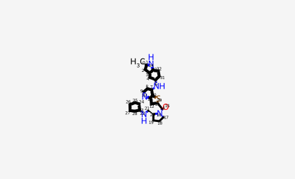 Cc1cc2cc(Nc3ccnc4cc(C(=O)N5CCC[C@H]5CNc5ccccc5)sc34)ccc2[nH]1